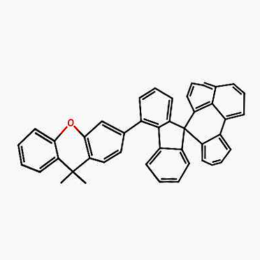 CC1(C)c2ccccc2Oc2cc(-c3cccc4c3-c3ccccc3C43c4ccccc4-c4cccc5cccc3c45)ccc21